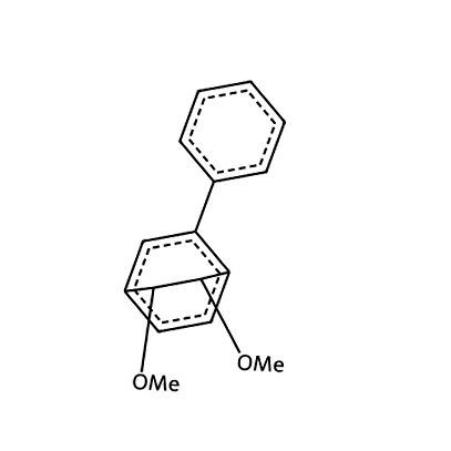 COC1c2ccc(c(-c3ccccc3)c2)C1OC